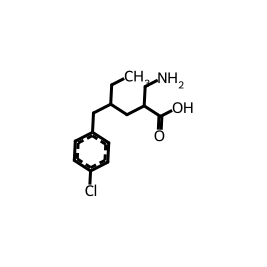 CCC(Cc1ccc(Cl)cc1)CC(CN)C(=O)O